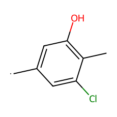 [CH2]c1cc(O)c(C)c(Cl)c1